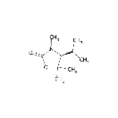 CC(C)[C@@H]1N(C)C(=O)OC1(C)C